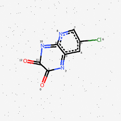 O=C1N=c2cc(Cl)cnc2=NC1=O